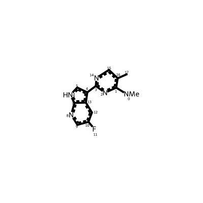 CNc1nc(-c2c[nH]c3ncc(F)cc23)ncc1C